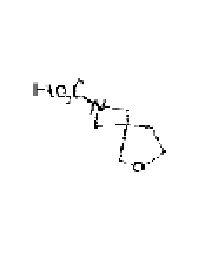 O=C(O)N1CC2(CCOC2)C1